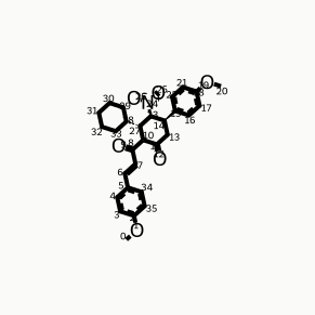 COc1ccc(/C=C/C(=O)C2C(=O)C[C@H](c3ccc(OC)cc3)[C@H]([N+](=O)[O-])[C@H]2C2CCCCC2)cc1